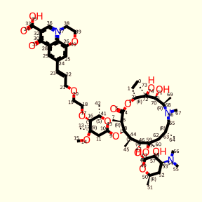 CC[C@H]1OC(=O)[C@H](C)[C@@H](OC2C[C@@](C)(OC)[C@@H](OCCOCC=Cc3cc4c5c(c3)c(=O)c(C(=O)O)cn5CCO4)[C@H](C)O2)[C@H](C)[C@@H](O[C@@H]2O[C@H](C)C[C@H](N(C)C)[C@H]2O)[C@](C)(O)C[C@@H](C)CN(C)[C@H](C)[C@H](O)[C@]1(C)O